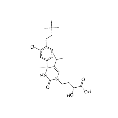 CC(C)C1=CN(CC[C@@H](O)C(=O)O)C(=O)N[C@@]1(C)c1ccc(CCC(C)(C)C)c(Cl)c1